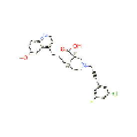 COc1ccc2nccc(CCC[C@@H]3CCN(CC#Cc4cc(F)cc(Cl)c4)C[C@@H]3C(=O)O)c2c1